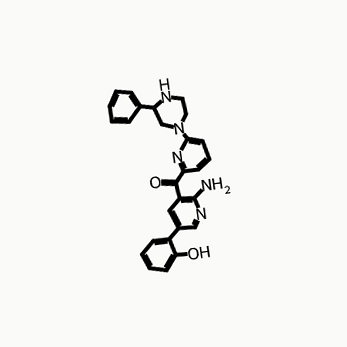 Nc1ncc(-c2ccccc2O)cc1C(=O)c1cccc(N2CCNC(c3ccccc3)C2)n1